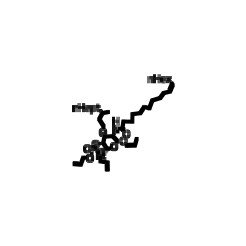 C=CCOP(=O)(OCC=C)O[C@H]1[C@H](OCC[C@H](C)CCCCCCC)[C@@H](NC(=O)CCCCCCCCC/C=C\CCCCCC)[C@H](O/C=C\C)O[C@@H]1CC